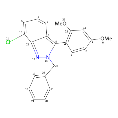 COc1ccc(-c2c3cccc(Cl)c3nn2Cc2ccccc2)c(OC)c1